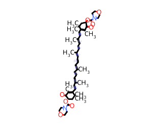 CC1=C(/C=C/C(C)=C/C=C/C(C)=C/C=C/C=C(C)/C=C/C=C(C)/C=C/C2=C(C)C(=O)C(OC(=O)N3CCOCC3)CC2(C)C)C(C)(C)CC(OC(=O)N2CCOCC2)C1=O